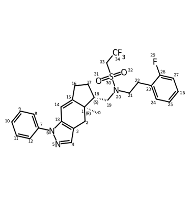 C[C@]12Cc3cnn(-c4ccccc4)c3C=C1CC[C@@H]2CN(CCc1ccccc1F)S(=O)(=O)CC(F)(F)F